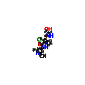 CC(CO)NSc1c(Cl)c(C(=O)Nc2cc(F)nc(C#N)c2)n2c1CCC2